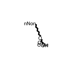 CCCCCCCCCCCCCCCCOC=C(CO)OOC